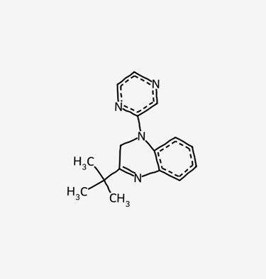 CC(C)(C)C1=Nc2ccccc2N(c2cnccn2)C1